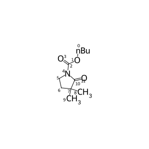 CCCCOC(=O)N1CCC(C)(C)C1=O